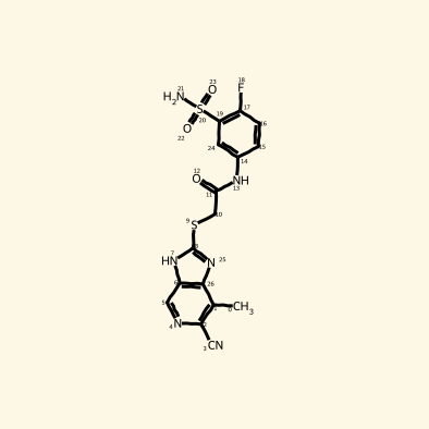 Cc1c(C#N)ncc2[nH]c(SCC(=O)Nc3ccc(F)c(S(N)(=O)=O)c3)nc12